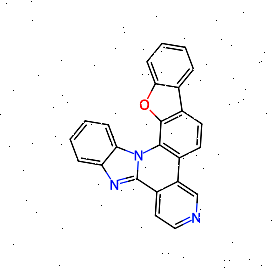 c1ccc2c(c1)nc1c3ccncc3c3ccc4c5ccccc5oc4c3n21